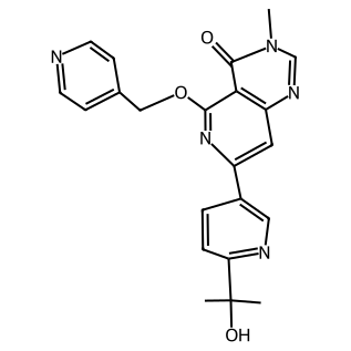 Cn1cnc2cc(-c3ccc(C(C)(C)O)nc3)nc(OCc3ccncc3)c2c1=O